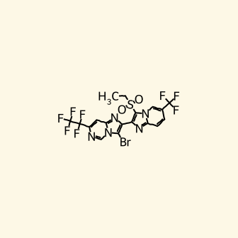 CCS(=O)(=O)c1c(-c2nc3cc(C(F)(F)C(F)(F)F)ncn3c2Br)nc2ccc(C(F)(F)F)cn12